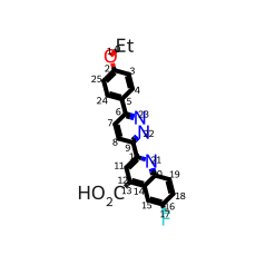 CCOc1ccc(-c2ccc(-c3cc(C(=O)O)c4cc(F)ccc4n3)nn2)cc1